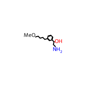 COCCCCCc1cccc(C(O)CCN)c1